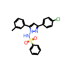 Cc1cccc(-c2cc(-c3ccc(Cl)cc3)nn2NS(=O)(=O)c2ccccc2)c1